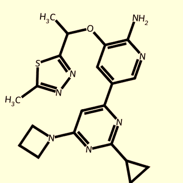 Cc1nnc(C(C)Oc2cc(-c3cc(N4CCC4)nc(C4CC4)n3)cnc2N)s1